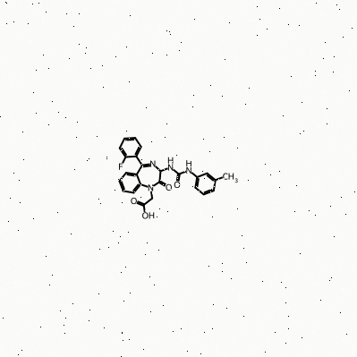 Cc1cccc(NC(=O)NC2N=C(c3ccccc3F)c3ccccc3N(CC(=O)O)C2=O)c1